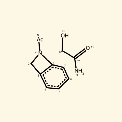 CC(=O)N1Cc2ccccc21.NC(=O)CO